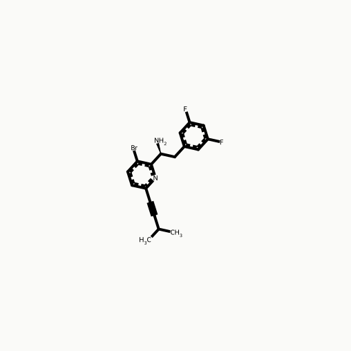 CC(C)C#Cc1ccc(Br)c([C@@H](N)Cc2cc(F)cc(F)c2)n1